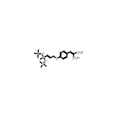 CCOC(=O)C(=Cc1ccc(OC/C=C/[Si](C)(O[Si](C)(C)C)O[Si](C)(C)C)cc1)C(=O)OCC